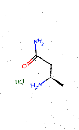 C[C@@H](N)CC(N)=O.Cl